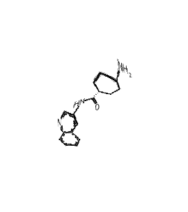 N[C@H]1CC[C@H](C(=O)Nc2cnc3ccccc3c2)CC1